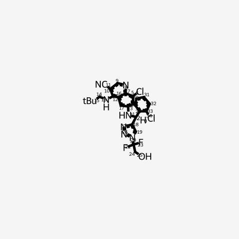 [2H]C(Nc1cc(Cl)c2ncc(C#N)c(NCC(C)(C)C)c2c1)(c1cn(C(F)(F)CO)nn1)c1ccccc1Cl